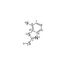 CSc1nc2cccc(F)c2s1